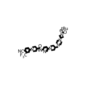 CC(C)(C)OC(=O)N1CC(N2CCN(CC3CCN(c4ccc(NC(=O)C5CCN(c6ccc(C#N)c(C(F)(F)F)c6)CC5)nc4)CC3)CC2)C1